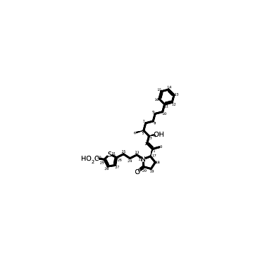 C/C(=C\[C@H](O)[C@@H](C)CCCCc1ccccc1)[C@H]1CCC(=O)N1CCCc1ccc(C(=O)O)s1